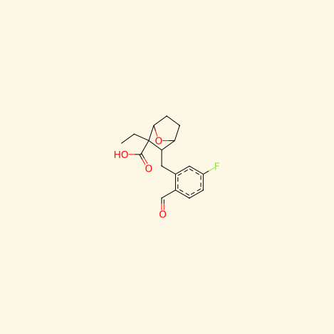 CCC1(C(=O)O)C2CCC(O2)C1Cc1cc(F)ccc1C=O